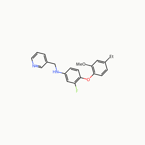 CCc1ccc(Oc2ccc(NCc3cccnc3)cc2F)c(OC)c1